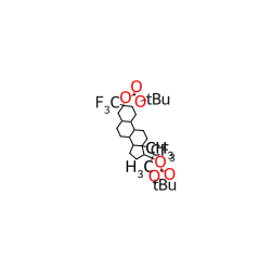 CC(C)(C)OC(=O)OC1(C(F)(F)F)CCC2C(CCC3C2CCC2(C)C3CCC2C(C)(OC(=O)OC(C)(C)C)C(F)(F)F)C1